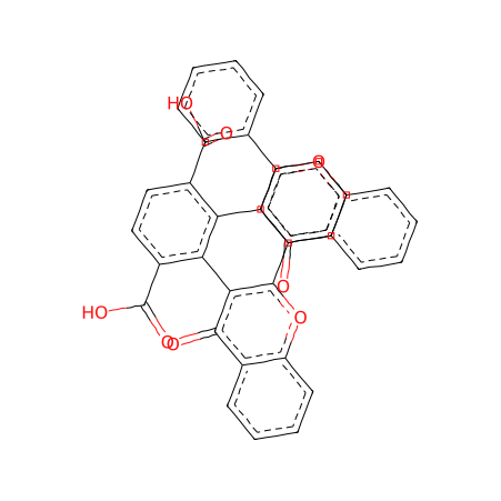 O=C(O)c1ccc(C(=O)O)c(-c2c(-c3ccccc3)oc3ccccc3c2=O)c1-c1c(-c2ccccc2)oc2ccccc2c1=O